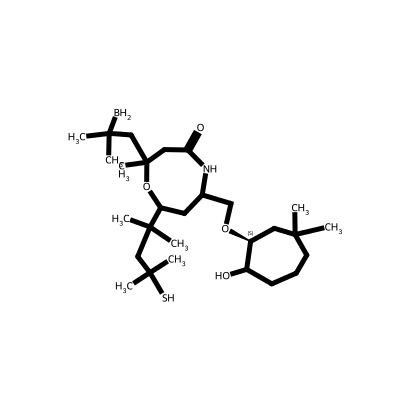 BC(C)(C)CC1(C)CC(=O)NC(CO[C@H]2CC(C)(C)CCCC2O)CC(C(C)(C)CC(C)(C)S)O1